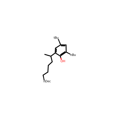 CCCCCCCCCCCCCCC(C)c1cc(C(C)(C)C)cc(CCCC)c1O